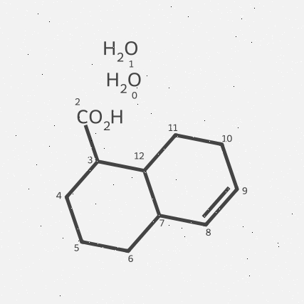 O.O.O=C(O)C1CCCC2C=CCCC21